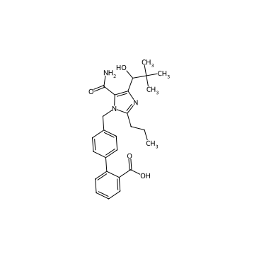 CCCc1nc(C(O)C(C)(C)C)c(C(N)=O)n1Cc1ccc(-c2ccccc2C(=O)O)cc1